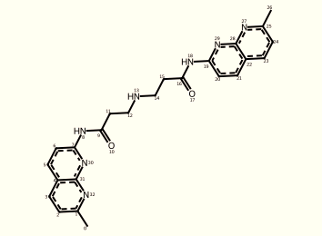 Cc1ccc2ccc(NC(=O)CCNCCC(=O)Nc3ccc4ccc(C)nc4n3)nc2n1